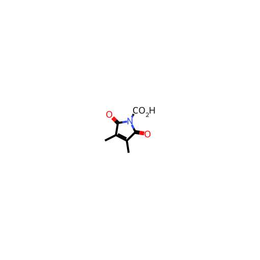 CC1=C(C)C(=O)N(C(=O)O)C1=O